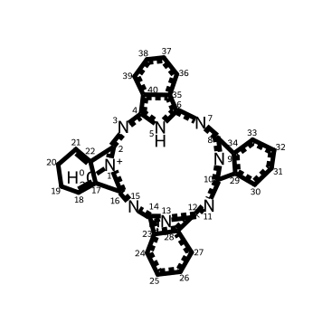 C[n+]1c2nc3[nH]c(nc4nc(nc5[nH]c(nc1C1=CCCC=C12)c1ccccc51)-c1ccccc1-4)c1ccccc31